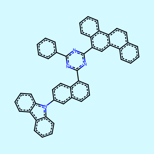 c1ccc(-c2nc(-c3cccc4cc(-n5c6ccccc6c6ccccc65)ccc34)nc(-c3cc4c5ccccc5ccc4c4ccccc34)n2)cc1